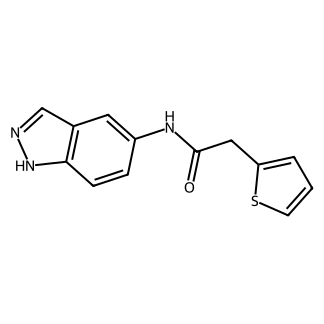 O=C(Cc1cccs1)Nc1ccc2[nH]ncc2c1